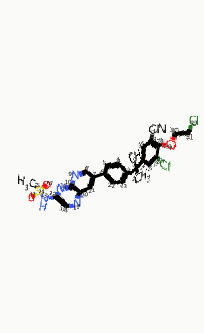 CC(C)(c1ccc(-c2cnc3nc(NS(C)(=O)=O)cnc3c2)cc1)c1cc(Cl)c(OCCCl)c(C#N)c1